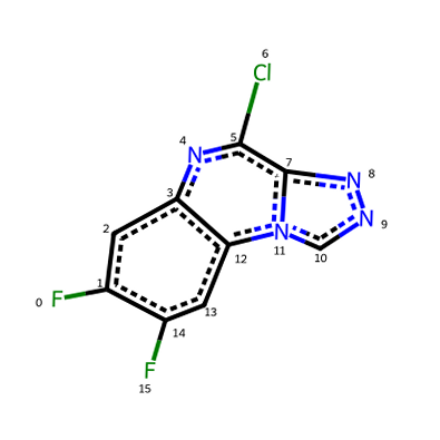 Fc1cc2nc(Cl)c3nncn3c2cc1F